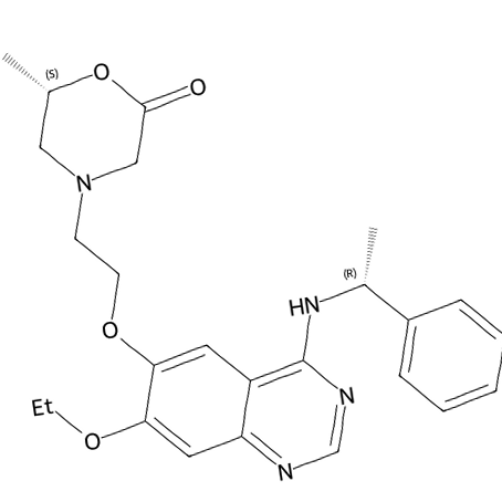 CCOc1cc2ncnc(N[C@H](C)c3ccccc3)c2cc1OCCN1CC(=O)O[C@@H](C)C1